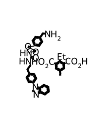 CCc1c(C(=O)O)cc(C)cc1C(=O)O.NCc1ccc(S(=O)(=O)NC(=O)NCCc2ccc(-n3cnc4ccccc43)cc2)cc1